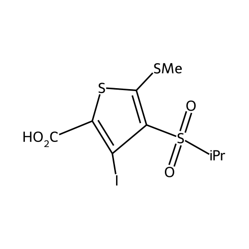 CSc1sc(C(=O)O)c(I)c1S(=O)(=O)C(C)C